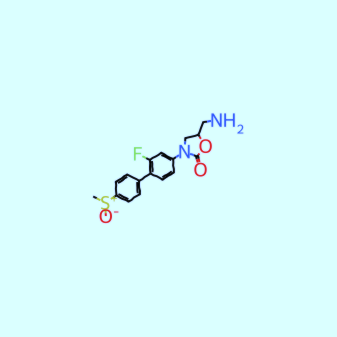 C[S+]([O-])c1ccc(-c2ccc(N3CC(CN)OC3=O)cc2F)cc1